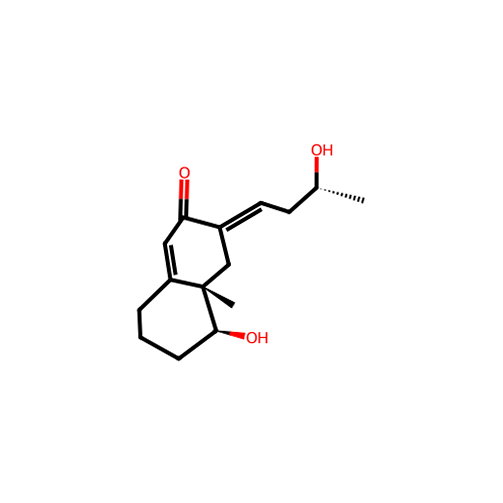 C[C@@H](O)C/C=C1\C[C@@]2(C)C(=CC1=O)CCC[C@@H]2O